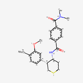 CCOc1cc([C@H]2CSCC[C@H]2NC(=O)c2ccc(C(=O)N(C(C)C)C(C)C)cc2)ccc1OC